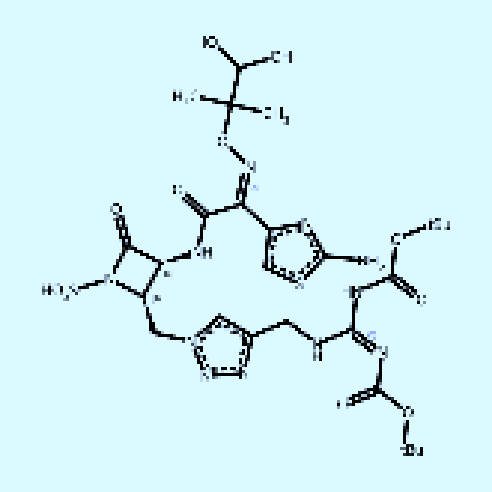 CC(C)(C)OC(=O)/N=C(\NCc1cn(C[C@@H]2[C@H](NC(=O)/C(=N\OC(C)(C)C(O)O)c3csc(N)n3)C(=O)N2S(=O)(=O)O)nn1)NC(=O)OC(C)(C)C